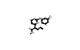 C=C/C=C(/C(F)=N/C)c1ccnc(Nc2cccc(Cl)c2)n1